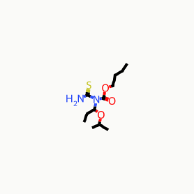 CCCCOC(=O)N(C(N)=S)C(CC)OC(C)C